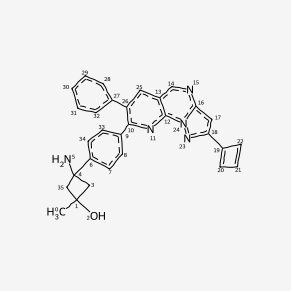 CC1(O)CC(N)(c2ccc(-c3nc4c(cnc5cc(C6=CC=C6)nn54)cc3-c3ccccc3)cc2)C1